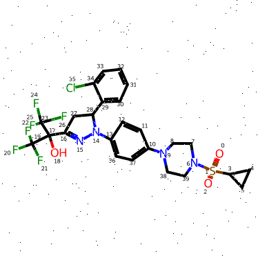 O=S(=O)(C1CC1)N1CCN(c2ccc(N3N=C(C(O)(C(F)(F)F)C(F)(F)F)CC3c3ccccc3Cl)cc2)CC1